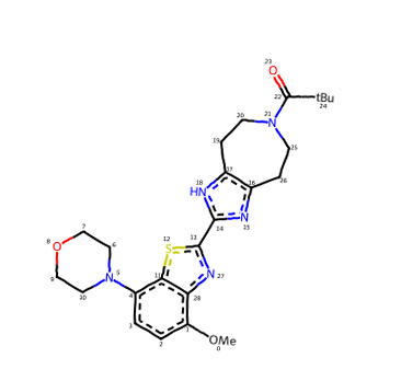 COc1ccc(N2CCOCC2)c2sc(-c3nc4c([nH]3)CCN(C(=O)C(C)(C)C)CC4)nc12